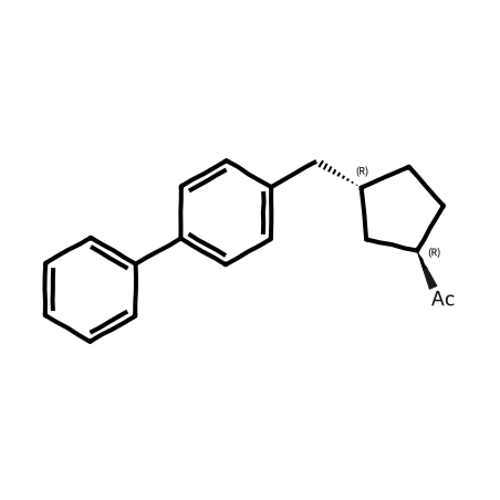 CC(=O)[C@@H]1CC[C@@H](Cc2ccc(-c3ccccc3)cc2)C1